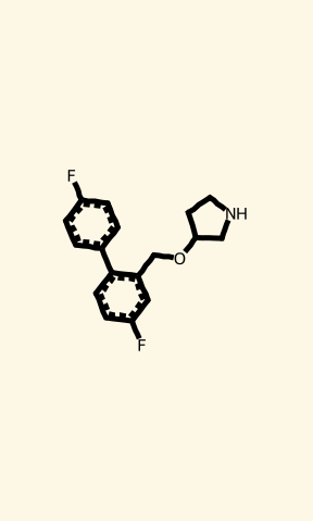 Fc1ccc(-c2ccc(F)cc2COC2CCNC2)cc1